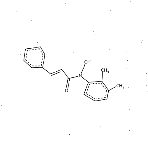 Cc1cccc(N(O)C(=O)C=Cc2ccccc2)c1C